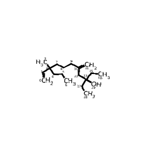 C=CC(C)(CCC)CCCC(=C)CC(O)(CC)CC